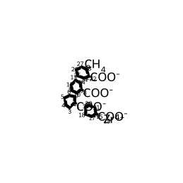 C.O=C([O-])c1ccccc1.O=C([O-])c1ccccc1.O=C([O-])c1ccccc1.O=C([O-])c1ccccc1.[Zr+4]